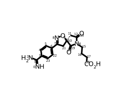 N=C(N)c1ccc(C2=NO[C@]3(CC(=O)N(CCCC(=O)O)C3=O)C2)cc1